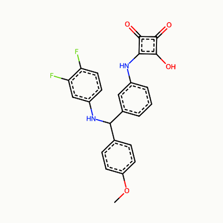 COc1ccc(C(Nc2ccc(F)c(F)c2)c2cccc(Nc3c(O)c(=O)c3=O)c2)cc1